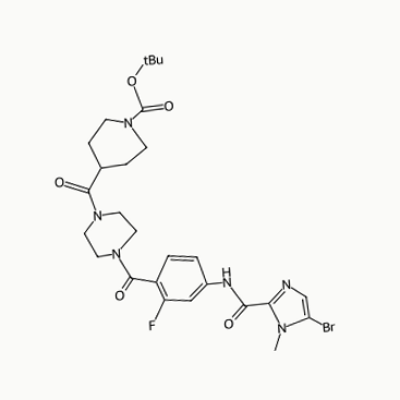 Cn1c(Br)cnc1C(=O)Nc1ccc(C(=O)N2CCN(C(=O)C3CCN(C(=O)OC(C)(C)C)CC3)CC2)c(F)c1